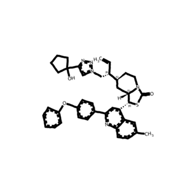 C=C[C@@H](Cn1cc(C2(O)CCCC2)nn1)[C@H]1CCN2C(=O)S[C@H](c3cc(-c4ccc(Oc5ccccc5)cc4)nc4ccc(C)cc34)[C@@H]2C1